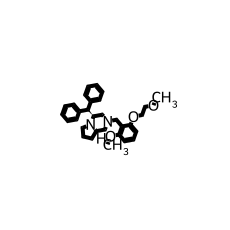 COCCOc1cccc(OC)c1CN1C[C@@H]2CCCN2[C@H](C(c2ccccc2)c2ccccc2)C1